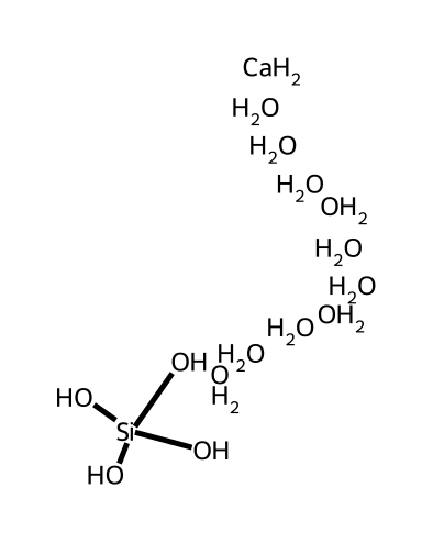 O.O.O.O.O.O.O.O.O.O.O[Si](O)(O)O.[CaH2]